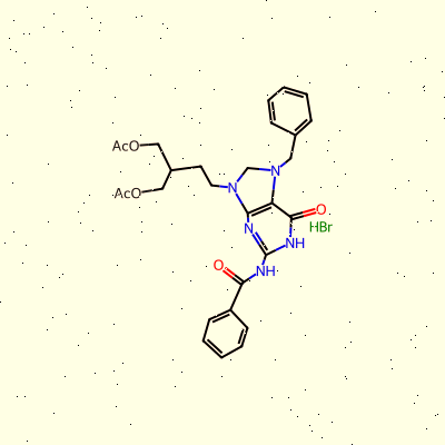 Br.CC(=O)OCC(CCN1CN(Cc2ccccc2)c2c1nc(NC(=O)c1ccccc1)[nH]c2=O)COC(C)=O